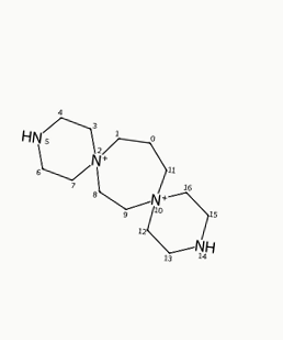 C1C[N+]2(CCNCC2)CC[N+]2(C1)CCNCC2